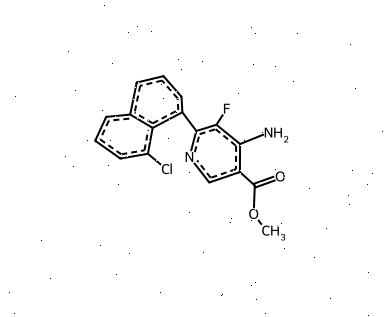 COC(=O)c1cnc(-c2cccc3cccc(Cl)c23)c(F)c1N